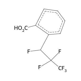 O=C(O)c1ccccc1C(F)C(F)(F)C(F)(F)F